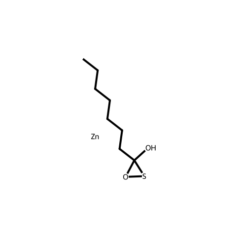 CCCCCCCC1(O)OS1.[Zn]